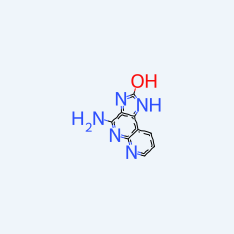 Nc1nc2ncccc2c2[nH]c(O)nc12